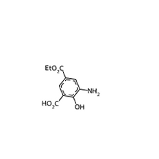 CCOC(=O)c1cc(N)c(O)c(C(=O)O)c1